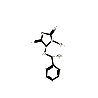 C[C@@H](O[C@H]1C(=O)NC(=O)N1C)c1ccccc1